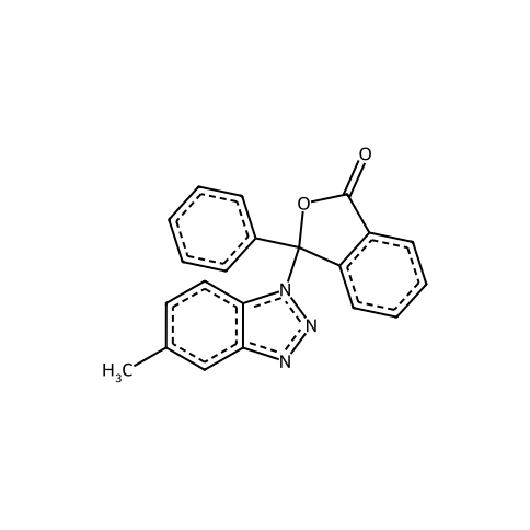 Cc1ccc2c(c1)nnn2C1(c2ccccc2)OC(=O)c2ccccc21